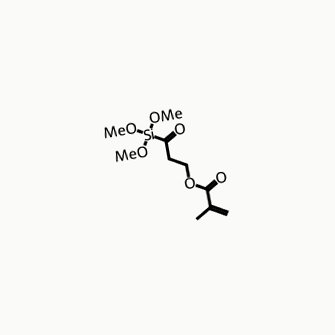 C=C(C)C(=O)OCCC(=O)[Si](OC)(OC)OC